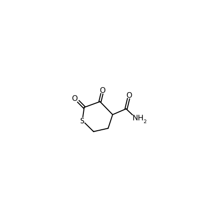 NC(=O)C1CCSC(=O)C1=O